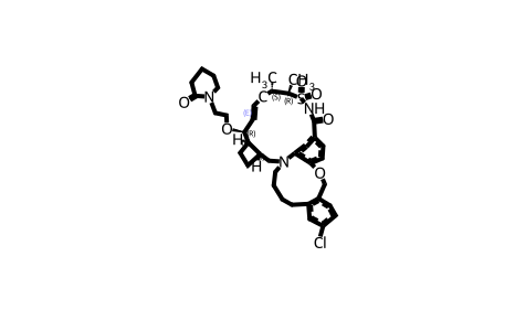 C[C@@H]1[C@@H](C)C/C=C/[C@H](OCCN2CCCCC2=O)[C@@H]2CC[C@H]2CN2CCCCc3cc(Cl)ccc3COc3ccc(cc32)C(=O)NS1(=O)=O